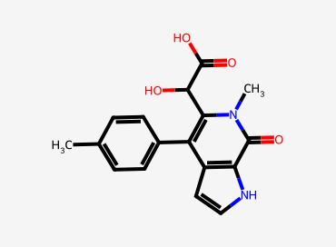 Cc1ccc(-c2c(C(O)C(=O)O)n(C)c(=O)c3[nH]ccc23)cc1